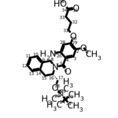 COc1cc(C(=O)N2Cc3ccccc3C[C@H]2CO[Si](C)(C)C(C)(C)C)c(N)cc1OCCCC(=O)O